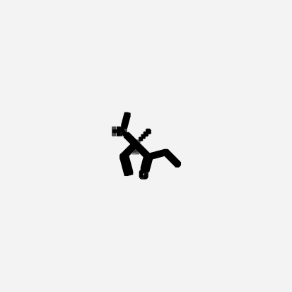 C=C[C@@](C)(NC)C(=O)CC